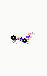 C/C(=N\OCc1ccccc1C(F)(F)F)c1ccc(Cl)c(ONC(=O)OC(C)(C)C)c1